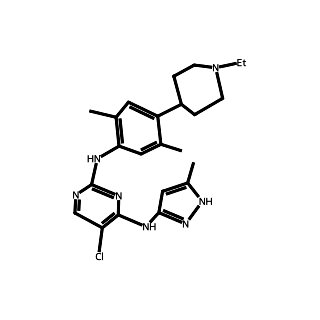 CCN1CCC(c2cc(C)c(Nc3ncc(Cl)c(Nc4cc(C)[nH]n4)n3)cc2C)CC1